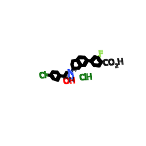 Cl.O=C(O)c1ccc(-c2ccc3c(c2)C[C@@H](NC[C@@H](O)c2ccc(Cl)cc2)CC3)cc1F